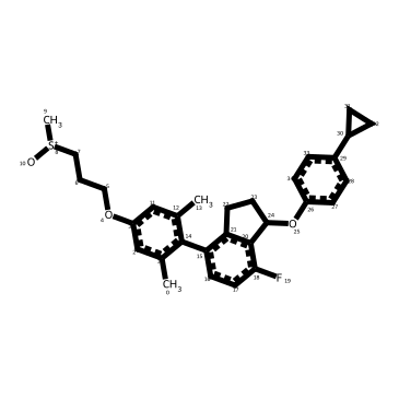 Cc1cc(OCCC[S+](C)[O-])cc(C)c1-c1ccc(F)c2c1CCC2Oc1ccc(C2CC2)cc1